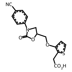 N#Cc1ccc(N2CC(COc3ccsc3CC(=O)O)OC2=O)cc1